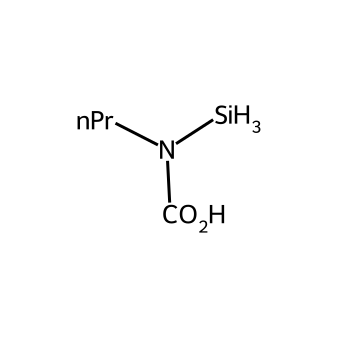 CCCN([SiH3])C(=O)O